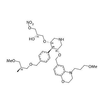 COCCCN1CCOc2ccc(CO[C@H]3CNC[C@@H](OC[C@H](O)CO[N+](=O)[O-])[C@@H]3c3ccc(COC[C@@H](C)COC)cc3)cc21